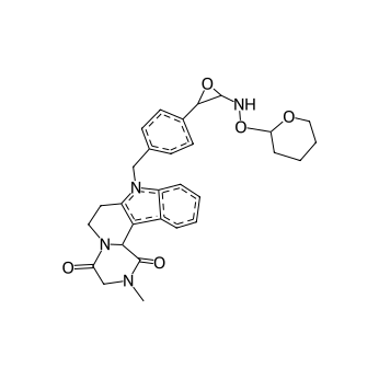 CN1CC(=O)N2CCc3c(c4ccccc4n3Cc3ccc(C4OC4NOC4CCCCO4)cc3)C2C1=O